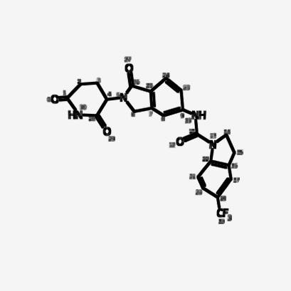 O=C1CCC(N2Cc3cc(NC(=O)N4CCc5cc(C(F)(F)F)ccc54)ccc3C2=O)C(=O)N1